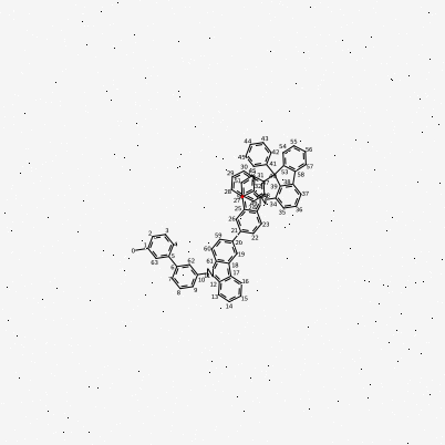 Cc1cccc(-c2cccc(-n3c4ccccc4c4cc(-c5ccc6c(c5)c5ccccc5n6-c5cccc6c5C(c5ccccc5)(c5ccccc5)c5ccccc5-6)ccc43)c2)c1